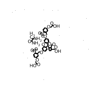 C[C@H](N)C(N)=O.O=C(O)COc1ccc([N+](=O)[O-])c(COc2ccc3c(c2)Oc2cc(OCc4cc(OCC(=O)O)ccc4[N+](=O)[O-])ccc2C32OC(=O)c3c(C(=O)O)cccc32)c1